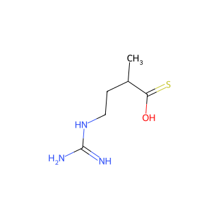 CC(CCNC(=N)N)C(O)=S